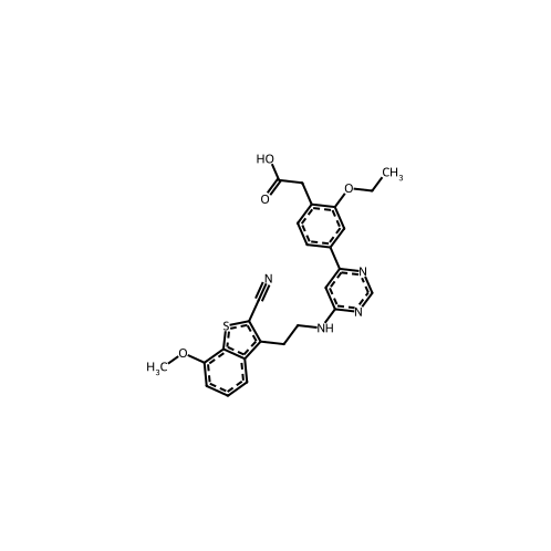 CCOc1cc(-c2cc(NCCc3c(C#N)sc4c(OC)cccc34)ncn2)ccc1CC(=O)O